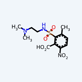 Cc1ccc([N+](=O)[O-])c(C(=O)O)c1S(=O)(=O)NCCN(C)C